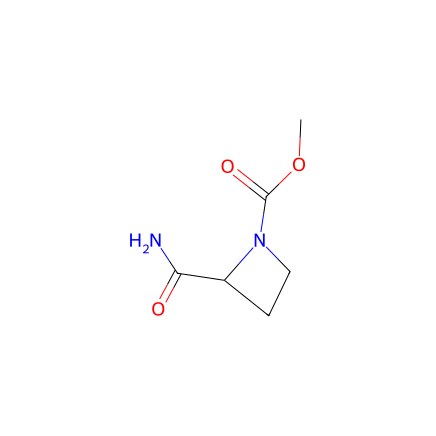 COC(=O)N1CCC1C(N)=O